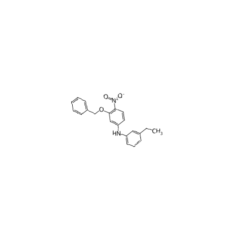 CCc1cccc(Nc2ccc([N+](=O)[O-])c(OCc3ccccc3)c2)c1